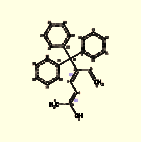 C=C/C(=C\C=C(/C)O)C(c1ccccc1)(c1ccccc1)c1ccccc1